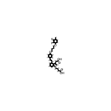 Cc1ccc(OCCCCOc2ccc(/C=C/c3cccc4c3c(CC(=O)O)cn4CCCC(=O)O)cc2)c(F)c1F